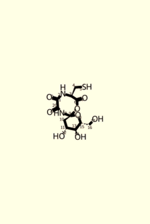 O=C1N[C@@H](CS)C(=O)O[C@@]2(C[C@@H](O)[C@H](O)[C@@H](CO)O2)NC1=O